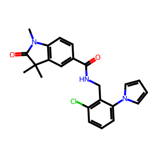 CN1C(=O)C(C)(C)c2cc(C(=O)NCc3c(Cl)cccc3-n3cccc3)ccc21